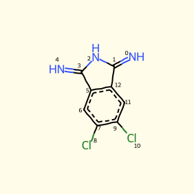 N=C1NC(=N)c2cc(Cl)c(Cl)cc21